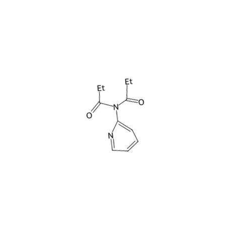 CCC(=O)N(C(=O)CC)c1ccccn1